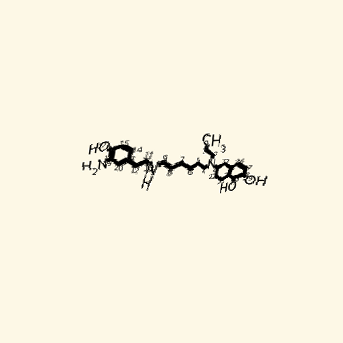 CCCN(CCCCCCNCCc1ccc(O)c(N)c1)C1CCc2c(ccc(O)c2O)C1